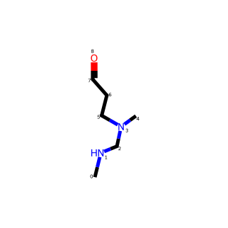 CNCN(C)CCC=O